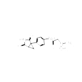 CN(C)CC(=O)Nc1ccc(C23CC2C(=O)NC3=O)cc1